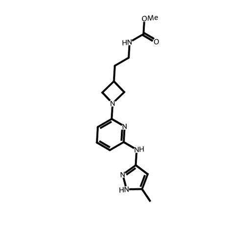 COC(=O)NCCC1CN(c2cccc(Nc3cc(C)[nH]n3)n2)C1